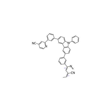 C=N/C(=C\C(C#N)=C/C)c1cccc(-c2ccc3c(c2)c2cc(-c4cccc(-c5cc(C#N)ccn5)c4)ccc2n3-c2ccccc2)c1